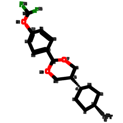 CCC[C@H]1CC[C@H](C2COC(c3ccc(OC(F)F)cc3)OC2)CC1